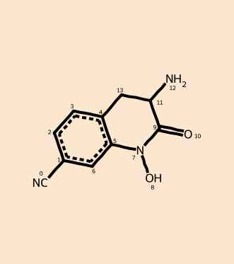 N#Cc1ccc2c(c1)N(O)C(=O)C(N)C2